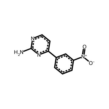 Nc1nccc(-c2cccc([N+](=O)[O-])c2)n1